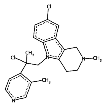 Cc1cnccc1C(C)(Cl)Cn1c2c(c3cc(Cl)ccc31)CN(C)CC2